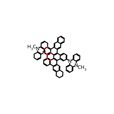 CN1C2=C(CCC=C2)N(c2ccc3c(-c4cc5c(cc4-c4ccccc4)CCCC5)c4cc(N5c6ccccc6N(C)c6ccccc65)ccc4c(-c4cc5ccccc5cc4-c4ccccc4)c3c2)C2=C1CCC=C2